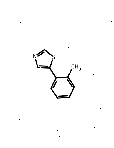 Cc1ccccc1-c1cncs1